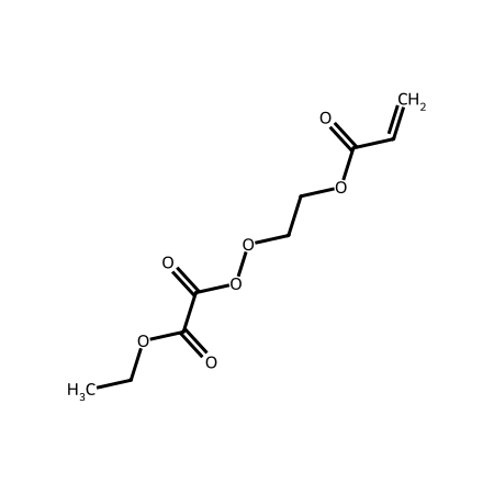 C=CC(=O)OCCOOC(=O)C(=O)OCC